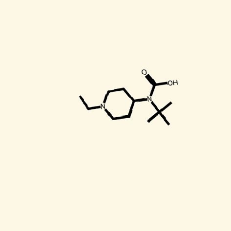 CCN1CCC(N(C(=O)O)C(C)(C)C)CC1